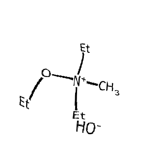 CCO[N+](C)(CC)CC.[OH-]